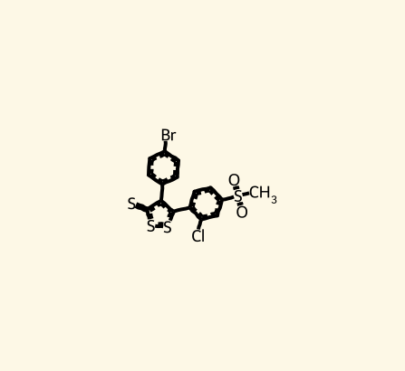 CS(=O)(=O)c1ccc(-c2ssc(=S)c2-c2ccc(Br)cc2)c(Cl)c1